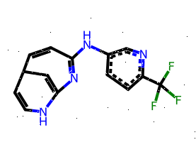 FC(F)(F)c1ccc(NC2=NC3=CC(C=CN3)C=C2)cn1